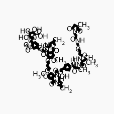 C=C1C[C@H]2[C@H](O)N(C(=O)OCc3ccc(NC(=O)[C@H](C)NC(=O)[C@@H](NC(=O)CCOCCNC(=O)CCN4C(=O)CC(C)C4=O)C(C)C)cc3)c3cc(OCCCOc4cc5c(cc4OC)C(=O)N4CC(=C)C[C@H]4[C@H](O)N5C(=O)OCc4ccc(O[C@@H]5O[C@H](C(=O)O)C(O)[C@H](O)C5O)c([N+](=O)[O-])c4)c(OC)cc3C(=O)N2C1